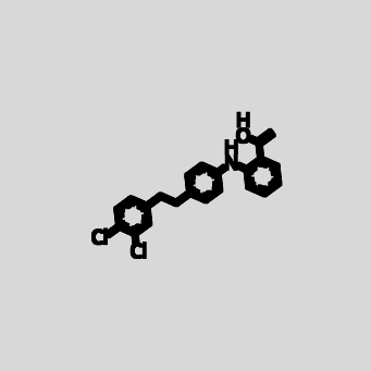 C=C(O)c1ccccc1Nc1ccc(CCc2ccc(Cl)c(Cl)c2)cc1